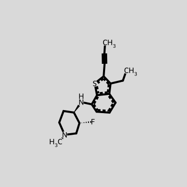 CC#Cc1sc2c(N[C@@H]3CCN(C)C[C@H]3F)cccc2c1CC